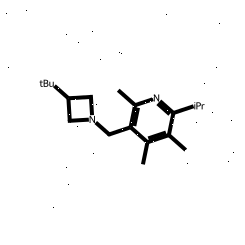 Cc1nc(C(C)C)c(C)c(C)c1CN1CC(C(C)(C)C)C1